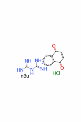 CCCCNC(=N)NC(=N)N.Cl.O=C1C=CC(=O)c2ccccc21